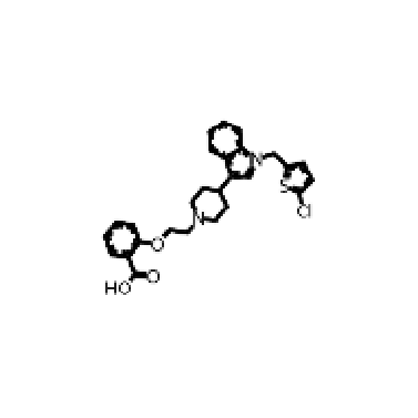 O=C(O)c1ccccc1OCCN1CCC(c2cn(Cc3ccc(Cl)s3)c3ccccc23)CC1